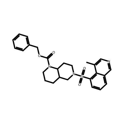 Cc1cncc2cccc(S(=O)(=O)N3CCC4C(CCCN4C(=O)OCc4ccccc4)C3)c12